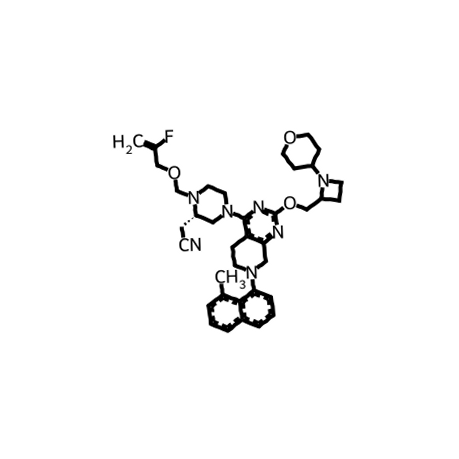 C=C(F)COCN1CCN(c2nc(OCC3CCN3C3CCOCC3)nc3c2CCN(c2cccc4cccc(C)c24)C3)C[C@@H]1CC#N